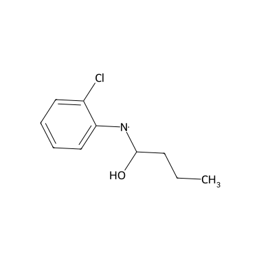 CCCC(O)[N]c1ccccc1Cl